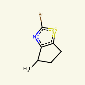 CC1CCc2sc(Br)nc21